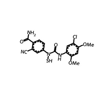 COc1cc(OC)c(NC(=O)N(S)c2ccc(C(N)=O)c(C#N)c2)cc1Cl